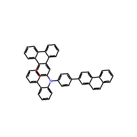 c1ccc(-c2ccccc2N(c2ccc(-c3ccc4c(ccc5ccccc54)c3)cc2)c2ccc3c4ccccc4c4ccccc4c3c2)cc1